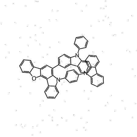 c1ccc(-n2c3ccccc3c3cc(-c4cc5c6ccccc6oc5c5c6ccccc6n(-c6ccc(-n7c8ccccc8c8ccccc87)cc6)c45)ccc32)cc1